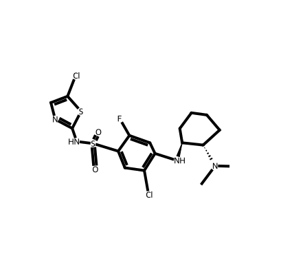 CN(C)[C@H]1CCCC[C@@H]1Nc1cc(F)c(S(=O)(=O)Nc2ncc(Cl)s2)cc1Cl